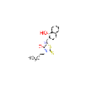 O=C(O)CCN1C(=O)/C(=C/c2ccc3ccccc3c2O)SC1=S